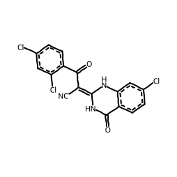 N#C/C(C(=O)c1ccc(Cl)cc1Cl)=C1\NC(=O)c2ccc(Cl)cc2N1